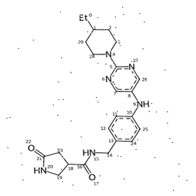 CCC1CCN(c2ncc(Nc3ccc(CNC(=O)C4CNC(=O)C4)cc3)cn2)CC1